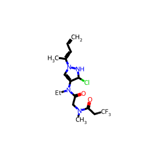 C=C/C=C(\C)N1C=C(N(CC)C(=O)CN(C)C(=O)CC(F)(F)F)C(Cl)N1